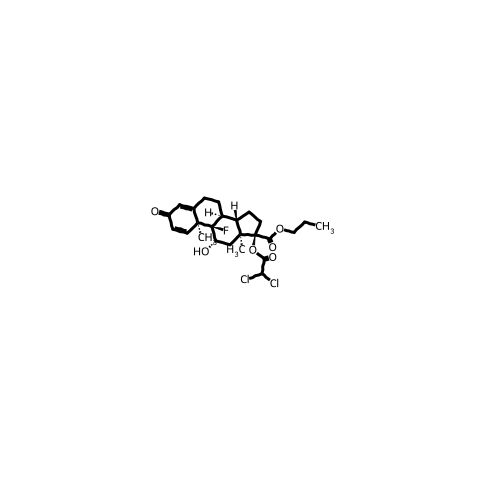 CCCOC(=O)[C@@]1(OC(=O)C(Cl)Cl)CC[C@H]2[C@@H]3CCC4=CC(=O)C=C[C@]4(C)[C@@]3(F)[C@@H](O)C[C@@]21C